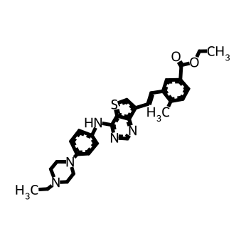 CCOC(=O)c1ccc(C)c(/C=C/c2csc3c(Nc4ccc(N5CCN(CC)CC5)cc4)ncnc23)c1